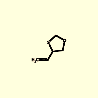 C=CC1COCS1